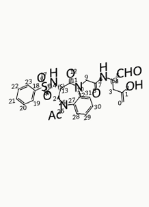 C=C(O)C[C@@H](C=O)NC(=O)CN1C(=O)[C@@H](NS(=O)(=O)c2ccccc2)CN(C(C)=O)c2ccccc21